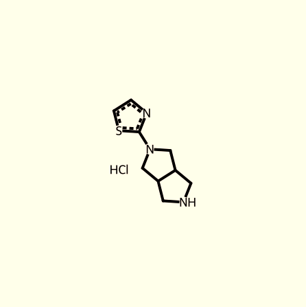 Cl.c1csc(N2CC3CNCC3C2)n1